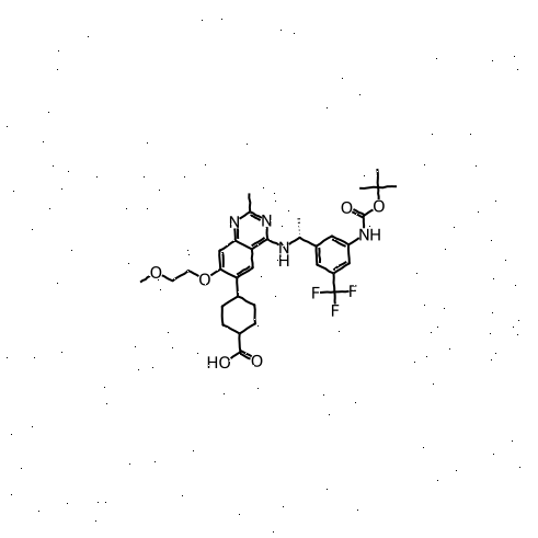 COCCOc1cc2nc(C)nc(N[C@H](C)c3cc(NC(=O)OC(C)(C)C)cc(C(F)(F)F)c3)c2cc1C1CCC(C(=O)O)CC1